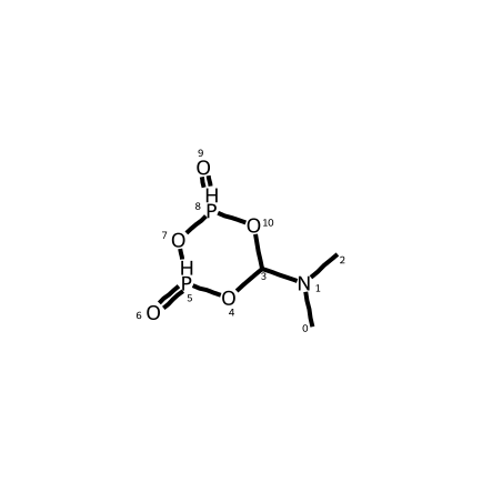 CN(C)C1O[PH](=O)O[PH](=O)O1